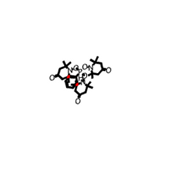 CC1(C)CC(=O)CC(C)(C)N1O[PH](ON1C(C)(C)CC(=O)CC1(C)C)(ON1C(C)(C)CC(=O)CC1(C)C)c1ccccc1